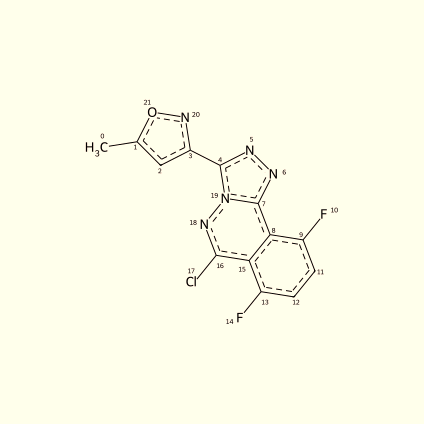 Cc1cc(-c2nnc3c4c(F)ccc(F)c4c(Cl)nn23)no1